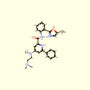 CCN(CCN(C)C)c1cc(C(=O)Nc2ccccc2-c2ncc(C(C)(C)C)o2)nc(-c2ccccc2)c1